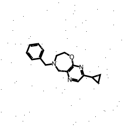 c1ccc(CN2CCOc3nc(C4CC4)cnc3C2)cc1